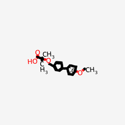 CCOC12CCC(c3ccc(COC(C)(C)C(=O)O)cc3)(CC1)CC2